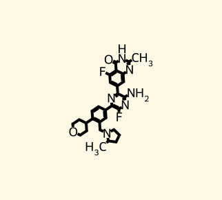 Cc1nc2cc(-c3nc(-c4ccc(C5CCOCC5)c(CN5CCCC5C)c4)c(F)nc3N)cc(F)c2c(=O)[nH]1